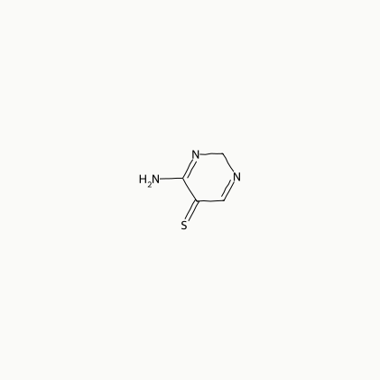 NC1=NCN=CC1=S